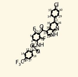 O=C(c1c(F)ccc(NS(=O)(=O)c2ccc(C(F)(F)F)cc2)c1F)c1c[nH]c2ncc(-c3ccc(Cl)cc3)cc12